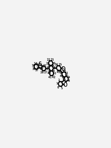 c1ccc2c(c1)oc1ccc3cc4oc5ccc(-c6c7ccccc7c(-c7ccc8c(c7)sc7ccccc78)c7ccccc67)cc5c4cc3c12